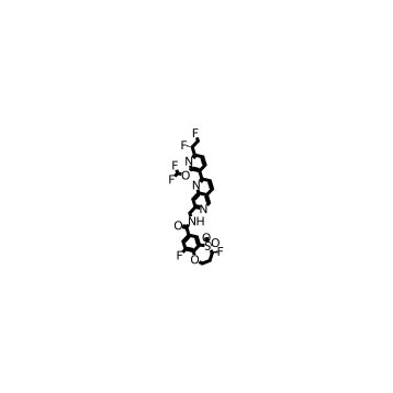 O=C(NCc1cc2nc(-c3ccc([C@H](F)CF)nc3OC(F)F)ccc2cn1)c1cc(F)c2c(c1)S(=O)(=O)[C@@H](F)CCO2